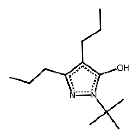 CCCc1nn(C(C)(C)C)c(O)c1CCC